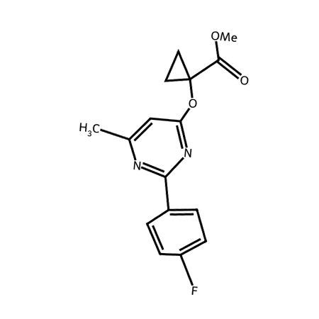 COC(=O)C1(Oc2cc(C)nc(-c3ccc(F)cc3)n2)CC1